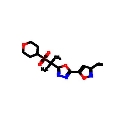 CC(C)(C)c1cc(-c2nnc(C(C)(C)S(=O)(=O)C3CCOCC3)o2)on1